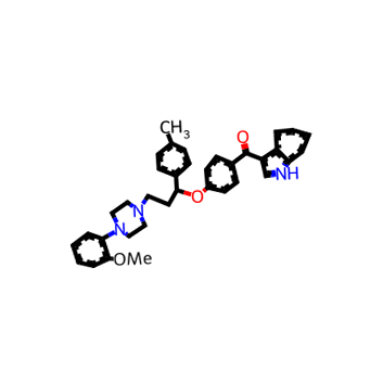 COc1ccccc1N1CCN(CCC(Oc2ccc(C(=O)c3c[nH]c4ccccc34)cc2)c2ccc(C)cc2)CC1